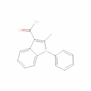 Cc1c(C(N)=O)c2ccccc2n1-c1ccccc1